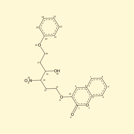 O=c1oc2ccccc2cc1OCCC(C(O)CCOc1ccccc1)[N+](=O)[O-]